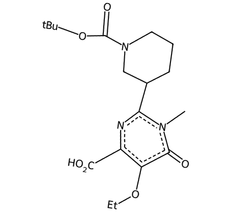 CCOc1c(C(=O)O)nc(C2CCCN(C(=O)OC(C)(C)C)C2)n(C)c1=O